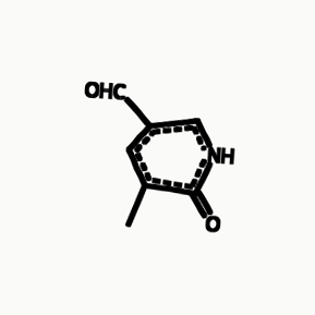 Cc1cc(C=O)c[nH]c1=O